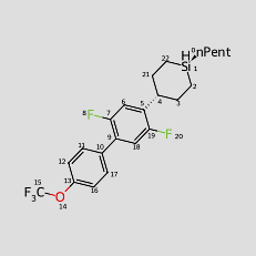 CCCCC[Si@H]1CC[C@H](c2cc(F)c(-c3ccc(OC(F)(F)F)cc3)cc2F)CC1